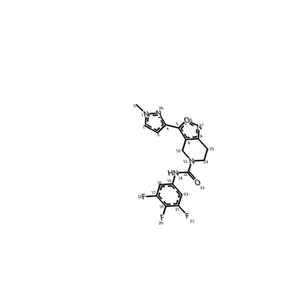 Cn1ccc(-c2onc3c2CN(C(=O)Nc2cc(F)c(F)c(F)c2)CC3)n1